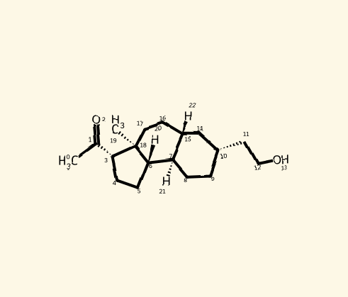 CC(=O)[C@H]1CC[C@H]2[C@@H]3CC[C@@H](CCO)C[C@H]3CC[C@]12C